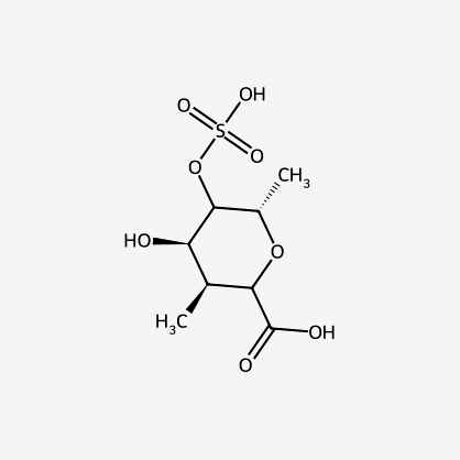 C[C@@H]1OC(C(=O)O)[C@@H](C)[C@@H](O)C1OS(=O)(=O)O